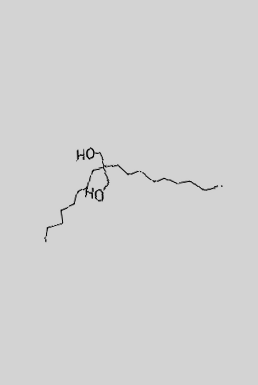 [CH2]CCCCCCCCC(CO)(CO)CCCCCCCC